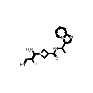 CC(NC(=O)C1CN(/C(N)=C(\Cl)C=N)C1)c1cnc2ccccn12